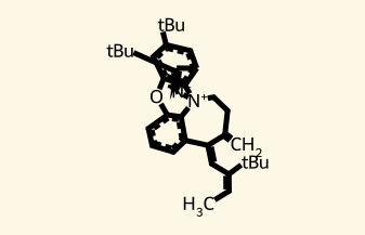 C=C1CC[N+]23c4c(cccc4/C1=C/C(=C\C)C(C)(C)C)Oc1cc(C(C)(C)C)cc(c12)-c1cc(C(C)(C)C)cc[n+]13